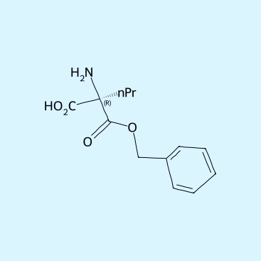 CCC[C@@](N)(C(=O)O)C(=O)OCc1ccccc1